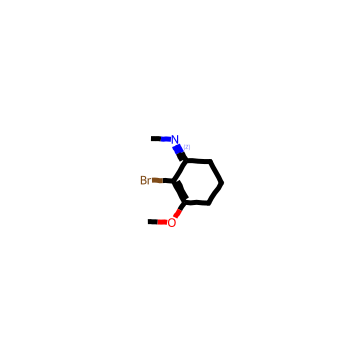 C/N=C1/CCCC(OC)=C1Br